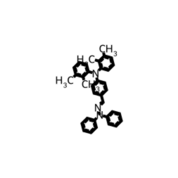 Cc1cccc(N(c2ccc(C=NN(c3ccccc3)c3ccccc3)cc2)c2cccc(C)c2C)c1C